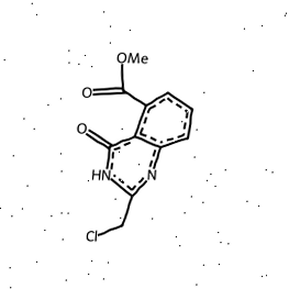 COC(=O)c1cccc2nc(CCl)[nH]c(=O)c12